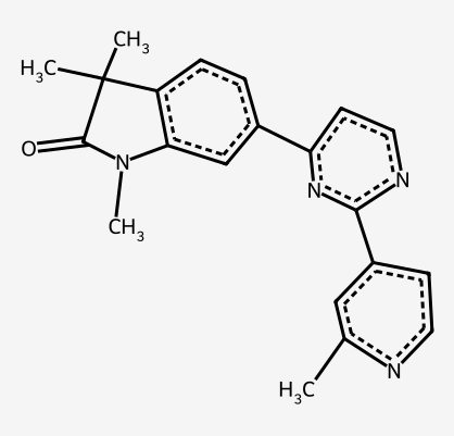 Cc1cc(-c2nccc(-c3ccc4c(c3)N(C)C(=O)C4(C)C)n2)ccn1